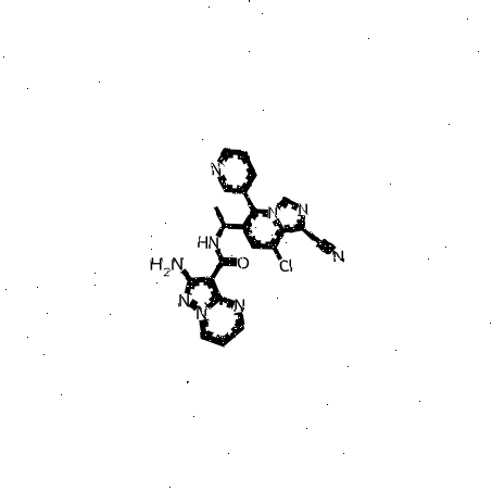 CC(NC(=O)c1c(N)nn2cccnc12)c1cc(Cl)c2c(C#N)ncn2c1-c1cccnc1